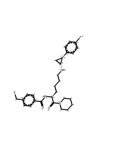 O=C(N[C@@H](CCCCN[C@@H]1C[C@H]1c1ccc(F)cc1)C(=O)N1CCCCC1)c1ccc(CF)cc1